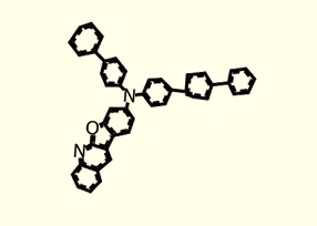 c1ccc(-c2ccc(-c3ccc(N(c4ccc(-c5ccccc5)cc4)c4ccc5c(c4)oc4nc6ccccc6cc45)cc3)cc2)cc1